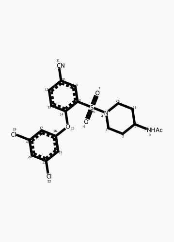 CC(=O)NC1CCN(S(=O)(=O)c2cc(C#N)ccc2Oc2cc(Cl)cc(Cl)c2)CC1